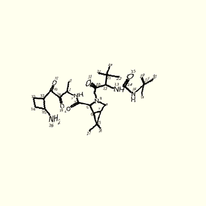 CC(NC(=O)C1C2C(CN1C(=O)C(NC(=O)NC(C)(C)C)C(C)(C)C)C2(C)C)C(=O)C(=O)C1CCC1N